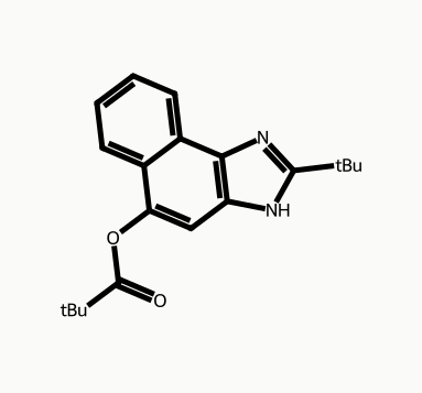 CC(C)(C)C(=O)Oc1cc2[nH]c(C(C)(C)C)nc2c2ccccc12